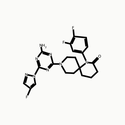 Nc1nc(N2CCC3(CCCC(=O)N3c3ccc(F)c(F)c3)CC2)nc(-n2cc(F)cn2)n1